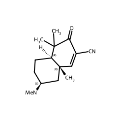 CN[C@H]1CC[C@H]2C(C)(C)C(=O)C(C#N)=C[C@]2(C)C1